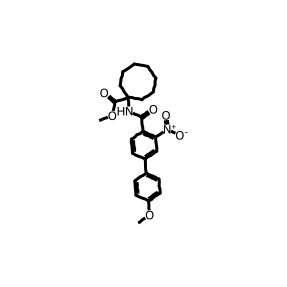 COC(=O)C1(NC(=O)c2ccc(-c3ccc(OC)cc3)cc2[N+](=O)[O-])CCCCCCC1